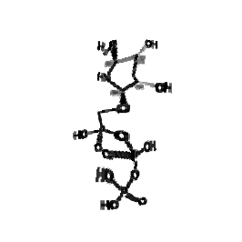 B[C@@H]1N[C@H](OCP(=O)(O)OP(=O)(O)OP(=O)(O)O)[C@@H](O)[C@H]1O